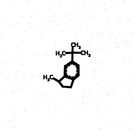 CC1CCc2ccc(C(C)(C)C)cc21